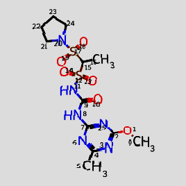 COc1nc(C)nc(NC(=O)NS(=O)(=O)C(C)S(=O)(=O)N2CCCC2)n1